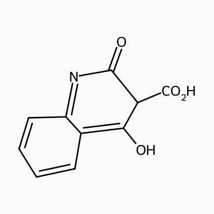 O=C(O)C1C(=O)N=c2ccccc2=C1O